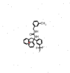 Cc1cccc(CNC(=O)NC(Cc2ccccc2)(c2cccc(C(F)(F)F)c2)c2ccccn2)c1